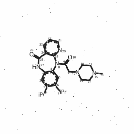 CC(C)c1cc2c(cc1C(C)C)N(C(=O)CN1CCN(C)CC1)c1ncccc1C(=O)N2